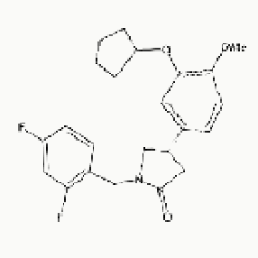 COc1ccc([C@@H]2CC(=O)N(Cc3ccc(F)cc3F)C2)cc1OC1CCCC1